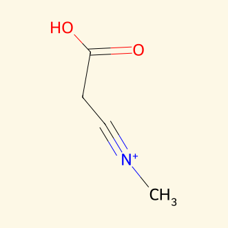 C[N+]#CCC(=O)O